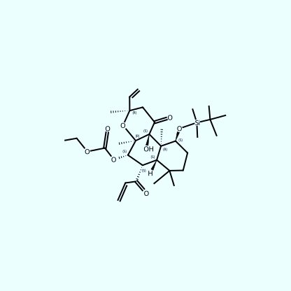 C=CC(=O)[C@H]1[C@H]2C(C)(C)CC[C@H](O[Si](C)(C)C(C)(C)C)[C@]2(C)[C@@]2(O)C(=O)C[C@](C)(C=C)O[C@]2(C)[C@H]1OC(=O)OCC